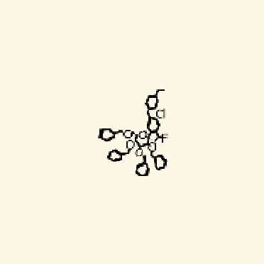 CCc1ccc(Cc2cc3c(cc2Cl)C(F)C[C@]32O[C@H](COCc3ccccc3)[C@@H](OCc3ccccc3)[C@H](OCc3ccccc3)[C@H]2OCc2ccccc2)cc1